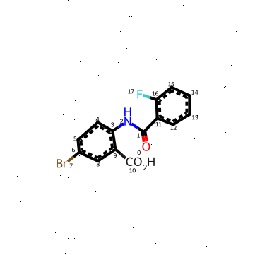 O=C(Nc1ccc(Br)cc1C(=O)O)c1ccccc1F